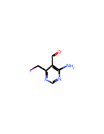 Nc1ncnc(CI)c1C=O